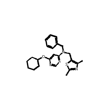 Cc1nc(C)c(CN(Cc2c[c]ccc2)c2cc(OC3CCCCC3)ncn2)s1